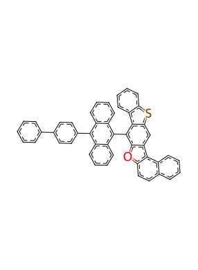 c1ccc(-c2ccc(-c3c4ccccc4c(-c4c5oc6ccc7ccccc7c6c5cc5sc6ccccc6c45)c4ccccc34)cc2)cc1